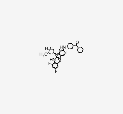 CCC[C@H](CC)n1c(Nc2c(F)cc(F)cc2F)nc2cnc(N[C@H]3CC[C@H](C(=O)N4CCCCC4)CC3)nc21